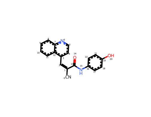 N#CC(=Cc1ccnc2ccccc12)C(=O)Nc1ccc(O)cc1